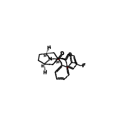 CC(=O)c1ccccc1C(=O)N1[C@@H]2CC[C@H]1C[C@@H](c1ccc(F)cc1)C2